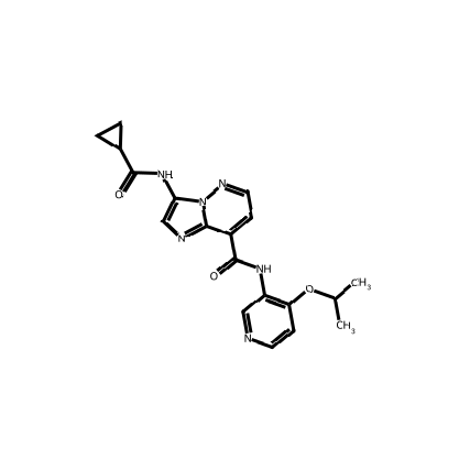 CC(C)Oc1ccncc1NC(=O)c1ccnn2c(NC(=O)C3CC3)cnc12